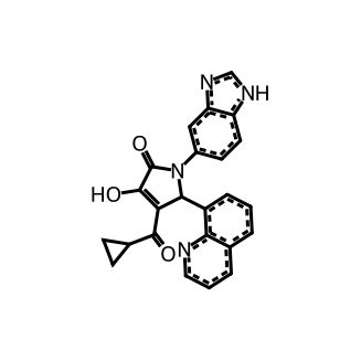 O=C(C1=C(O)C(=O)N(c2ccc3[nH]cnc3c2)C1c1cccc2cccnc12)C1CC1